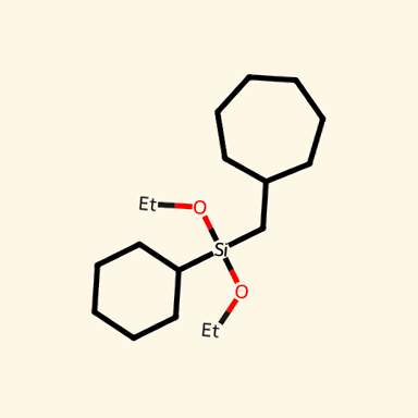 CCO[Si](CC1CCCCCC1)(OCC)C1CCCCC1